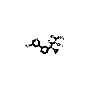 Bc1cncc(-c2cccc([C@@H](C(=O)N(C)C(=N)N)C3CC3)c2)c1